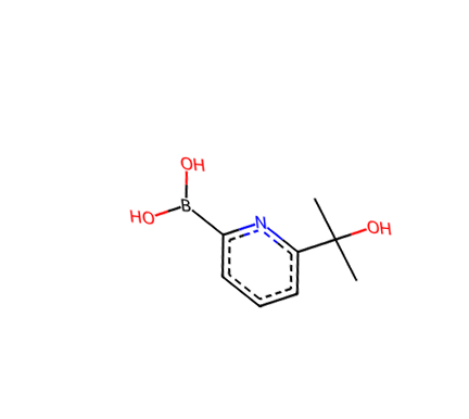 CC(C)(O)c1cccc(B(O)O)n1